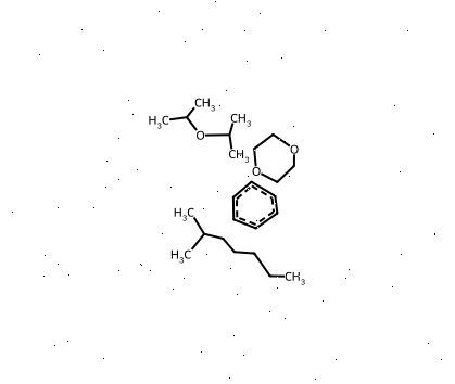 C1COCCO1.CC(C)OC(C)C.CCCCCC(C)C.c1ccccc1